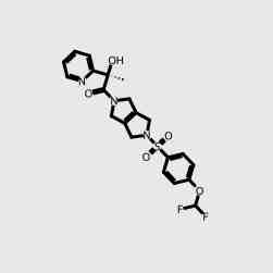 C[C@](O)(C(=O)N1CC2=C(C1)CN(S(=O)(=O)c1ccc(OC(F)F)cc1)C2)c1ccccn1